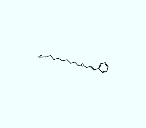 CCCCCCCCCCCCCCCCCCOCC=Cc1ccccc1